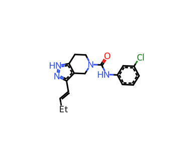 CC/C=C/c1n[nH]c2c1CN(C(=O)Nc1cccc(Cl)c1)CC2